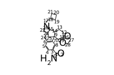 NC(=O)c1ccc2c(c1)C13CC4(CCC1C1N(CC5CCC5)CC1(C2)C3)OCCO4